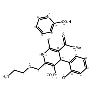 CCOC(=O)C1=C(COCCN)NC(C)=C(C(=O)OC)C1c1ccccc1Cl.O=C(O)c1ccccn1